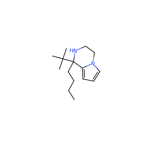 CCCCC1(C(C)(C)C)NCCn2cccc21